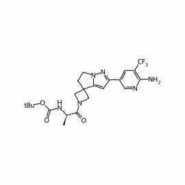 C[C@@H](NC(=O)OC(C)(C)C)C(=O)N1CC2(CCn3nc(-c4cnc(N)c(C(F)(F)F)c4)cc32)C1